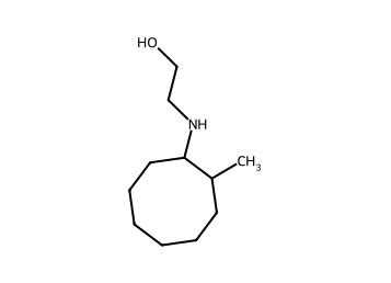 CC1CCCCCCC1NCCO